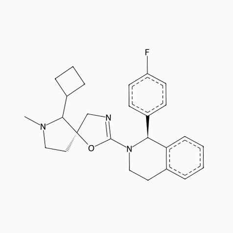 CN1CC[C@@]2(CN=C(N3CCc4ccccc4[C@@H]3c3ccc(F)cc3)O2)C1C1CCC1